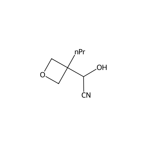 CCCC1(C(O)C#N)COC1